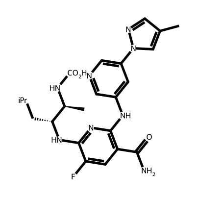 Cc1cnn(-c2cncc(Nc3nc(N[C@H](CC(C)C)[C@H](C)NC(=O)O)c(F)cc3C(N)=O)c2)c1